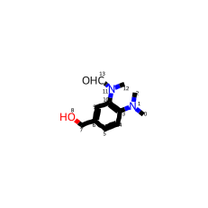 CN(C)c1ccc(CO)cc1N(C)C=O